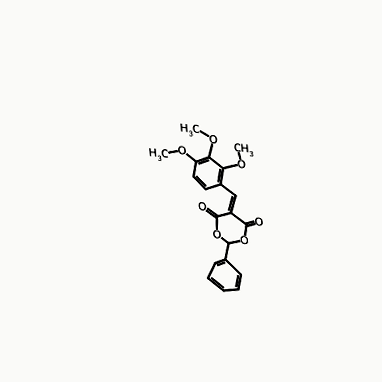 COc1ccc(C=C2C(=O)OC(c3ccccc3)OC2=O)c(OC)c1OC